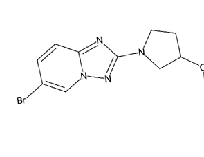 COC1CCN(c2nc3ccc(Br)cn3n2)C1